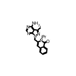 CC(C)n1c(Cn2nc(I)c3c(N)ncnc32)cc2ccccc2c1=O